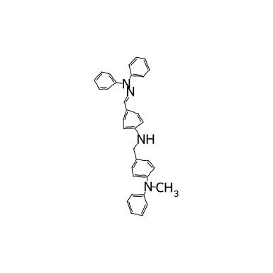 CN(c1ccccc1)c1ccc(CNc2ccc(C=NN(c3ccccc3)c3ccccc3)cc2)cc1